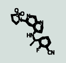 C[C@@H](Nc1ccnc2cnc(N3CCCS3(=O)=O)cc12)c1cccc(C#N)c1F